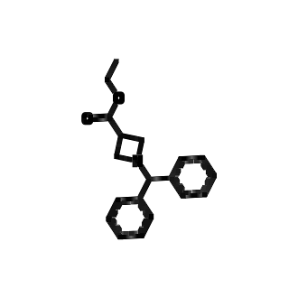 CCOC(=O)C1CN(C(c2ccccc2)c2ccccc2)C1